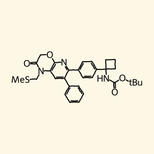 CSCN1C(=O)COc2nc(-c3ccc(C4(NC(=O)OC(C)(C)C)CCC4)cc3)c(-c3ccccc3)cc21